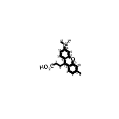 Cc1ccc2c(CCC(=O)O)c3ccc(=[N+](C)C)cc-3oc2c1